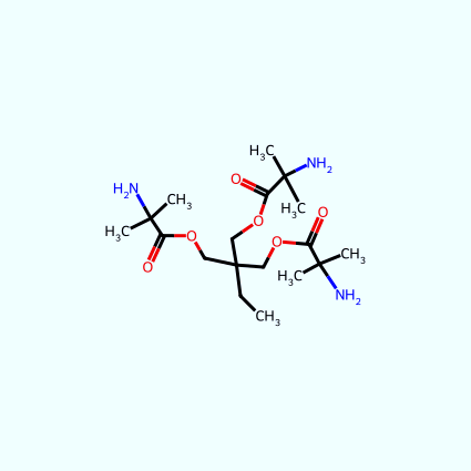 CCC(COC(=O)C(C)(C)N)(COC(=O)C(C)(C)N)COC(=O)C(C)(C)N